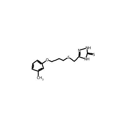 Cc1cccc(OCCCSCc2n[nH]c(=S)[nH]2)c1